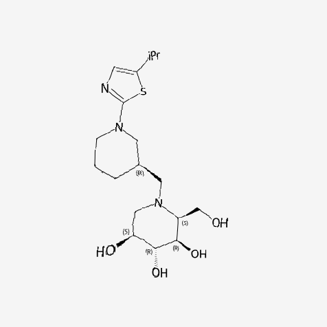 CC(C)c1cnc(N2CCC[C@H](CN3C[C@H](O)[C@@H](O)[C@H](O)[C@@H]3CO)C2)s1